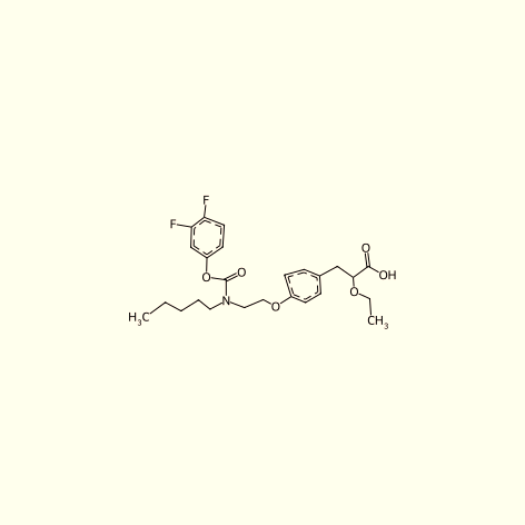 CCCCCN(CCOc1ccc(CC(OCC)C(=O)O)cc1)C(=O)Oc1ccc(F)c(F)c1